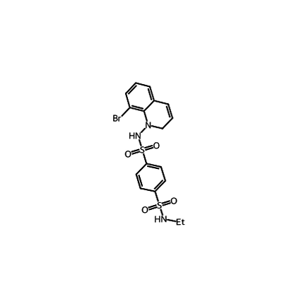 CCNS(=O)(=O)c1ccc(S(=O)(=O)NN2CC=Cc3cccc(Br)c32)cc1